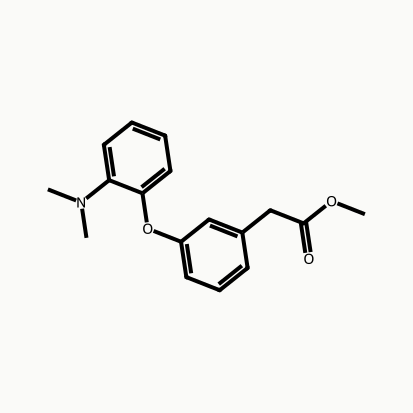 COC(=O)Cc1cccc(Oc2ccccc2N(C)C)c1